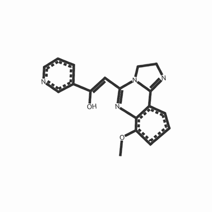 COc1cccc2c1N=C(/C=C(\O)c1cccnc1)N1CCN=C21